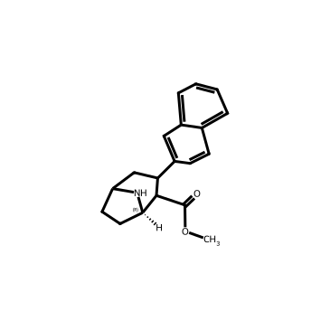 COC(=O)C1C(c2ccc3ccccc3c2)CC2CC[C@H]1N2